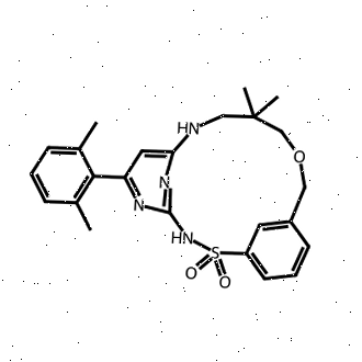 Cc1cccc(C)c1-c1cc2nc(n1)NS(=O)(=O)c1cccc(c1)COCC(C)(C)CN2